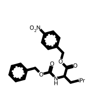 CC(C)CC(NC(=O)OCc1ccccc1)C(=O)OCc1ccc([N+](=O)[O-])cc1